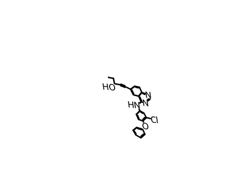 CCC(O)C#Cc1ccc2ncnc(Nc3ccc(Oc4ccccc4)c(Cl)c3)c2c1